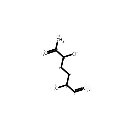 C=CC(C)CCC(Cl)C(=C)C